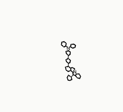 c1ccc(-c2c3ccccc3n3ccc4c(-c5ccc(-c6ccc(N(c7ccccc7)c7ccccc7)cc6)cc5)cccc4c23)cc1